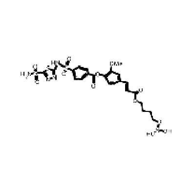 COc1cc(/C=C/C(=O)OCCCCON(O)O)ccc1OC(=O)c1ccc(S(=O)(=O)Nc2nnc(S(N)(=O)=O)s2)cc1